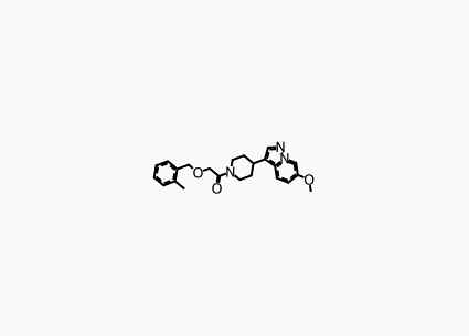 COc1ccc2c(C3CCN(C(=O)COCc4ccccc4C)CC3)cnn2c1